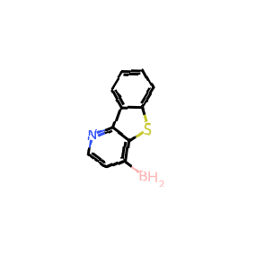 Bc1ccnc2c1sc1ccccc12